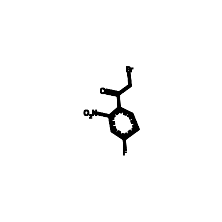 O=C(CBr)c1ccc(F)cc1[N+](=O)[O-]